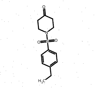 CCc1ccc(S(=O)(=O)N2CCC(=O)CC2)cc1